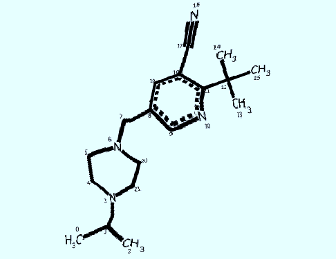 CC(C)N1CCN(Cc2cnc(C(C)(C)C)c(C#N)c2)CC1